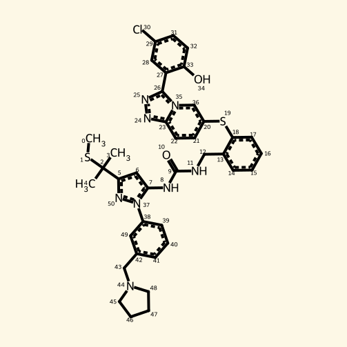 CSC(C)(C)c1cc(NC(=O)NCc2ccccc2Sc2ccc3nnc(-c4cc(Cl)ccc4O)n3c2)n(-c2cccc(CN3CCCC3)c2)n1